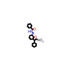 O=C(NN=C1CC=Cc2c1oc([N+](=O)[O-])c2-c1ccccc1)c1ccccc1